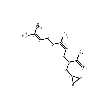 C=C(CCC)N(C/C=C(/C)CCC=C(C)C)CC1CC1